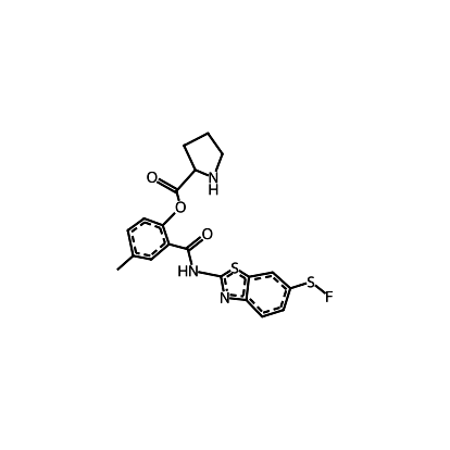 Cc1ccc(OC(=O)C2CCCN2)c(C(=O)Nc2nc3ccc(SF)cc3s2)c1